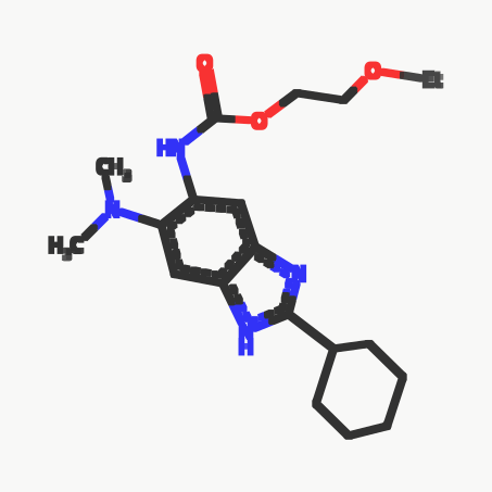 CCOCCOC(=O)Nc1cc2nc(C3CCCCC3)[nH]c2cc1N(C)C